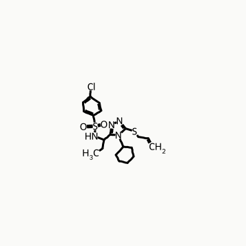 C=CCSc1nnc(C(CC)NS(=O)(=O)c2ccc(Cl)cc2)n1C1CCCCC1